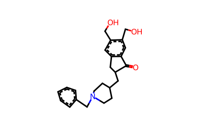 O=C1c2cc(CO)c(CO)cc2CC1CC1CCN(Cc2ccccc2)CC1